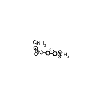 CS(=O)(=O)c1ccc(-c2ccc(C3CN(C(=O)N4CC[C@H](C(N)=O)C4)C3)cc2)c(Cl)c1